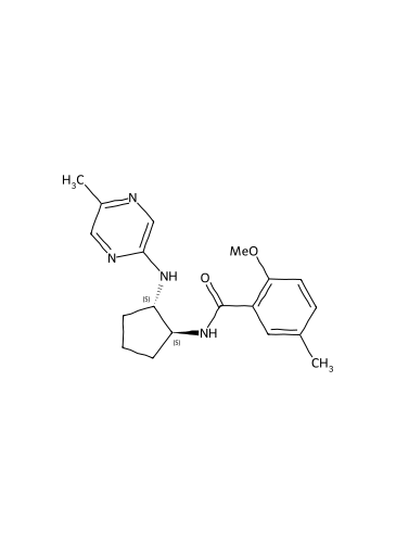 COc1ccc(C)cc1C(=O)N[C@H]1CCC[C@@H]1Nc1cnc(C)cn1